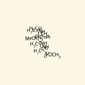 C=CC1=C(C)C(=O)N/C1=C\C1=NC(=C\c2[nH]c(/C=C3\NC(=O)C(CC[S+]([O-])c4ccc(C)cc4)=C3C)c(C)c2CCC(=O)OC)/C(CCC)=C1C